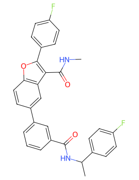 CNC(=O)c1c(-c2ccc(F)cc2)oc2ccc(-c3cccc(C(=O)NC(C)c4ccc(F)cc4)c3)cc12